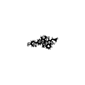 C=C1N=C(CCC2CC2)N(c2c(OC)cccc2OC)C(O)=C1C(=C)N1CCC(c2ccc(F)cn2)C1